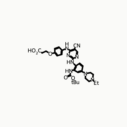 CCN1CCN(c2ccc(Nc3ncc(C#N)c(Nc4ccc(OCCC(=O)O)cc4)n3)c(NC(=O)OC(C)(C)C)c2)CC1